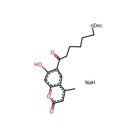 CCCCCCCCCCCCCCCC(=O)c1cc2c(C)cc(=O)oc2cc1O.[NaH]